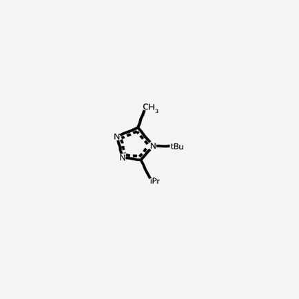 Cc1nnc(C(C)C)n1C(C)(C)C